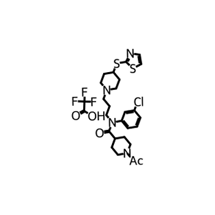 CC(=O)N1CCC(C(=O)N(CCCN2CCC(Sc3nccs3)CC2)c2cccc(Cl)c2)CC1.O=C(O)C(F)(F)F